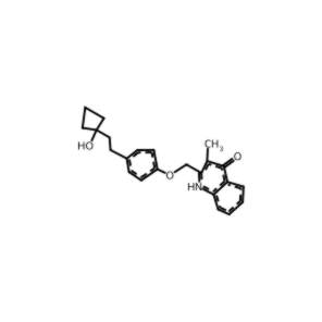 Cc1c(COc2ccc(CCC3(O)CCC3)cc2)[nH]c2ccccc2c1=O